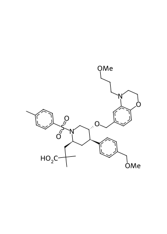 COCCCN1CCOc2ccc(CO[C@H]3CN(S(=O)(=O)c4ccc(C)cc4)[C@H](CC(C)(C)C(=O)O)C[C@@H]3c3ccc(COC)cc3)cc21